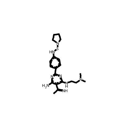 CC(=N)c1c(N)nc(-c2ccc(NSN3CCCC3)cc2)nc1NCCN(C)C